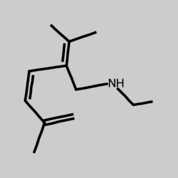 C=C(C)/C=C\C(CNCC)=C(C)C